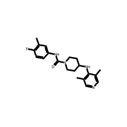 Cc1cc(NC(=O)N2CCC(Nc3c(C)cncc3C)CC2)ccc1F